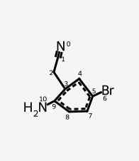 N#CCc1cc(Br)ccc1N